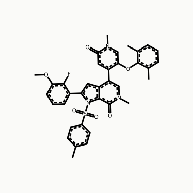 COc1cccc(-c2cc3c(-c4cc(=O)n(C)cc4Oc4c(C)cccc4C)cn(C)c(=O)c3n2S(=O)(=O)c2ccc(C)cc2)c1F